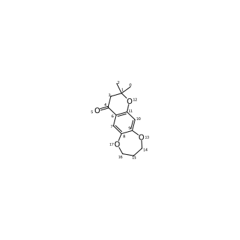 CC1(C)CC(=O)c2cc3c(cc2O1)OCCCO3